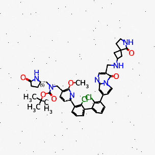 COc1nc(-c2cccc(-c3cccc(-c4ccn5c(=O)c(CNC6CC7(CCNC7=O)C6)cnc5c4)c3Cl)c2Cl)ccc1CN(C[C@@H]1CCC(=O)N1)C(=O)OC(C)(C)C